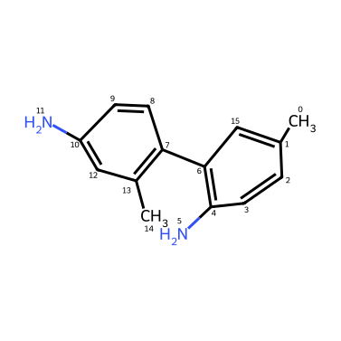 Cc1ccc(N)c(-c2ccc(N)cc2C)c1